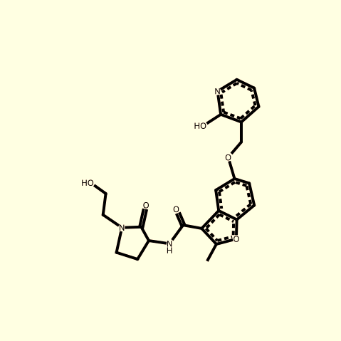 Cc1oc2ccc(OCc3cccnc3O)cc2c1C(=O)NC1CCN(CCO)C1=O